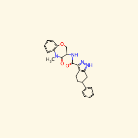 CN1C(=O)C(NC(=O)c2n[nH]c3c2CCC(c2ccccc2)C3)COc2ccccc21